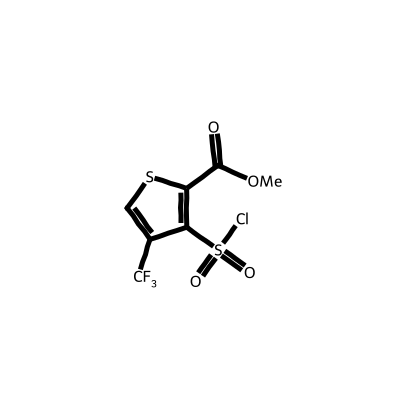 COC(=O)c1scc(C(F)(F)F)c1S(=O)(=O)Cl